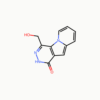 O=c1[nH]nc(CO)c2c1cc1ccccn12